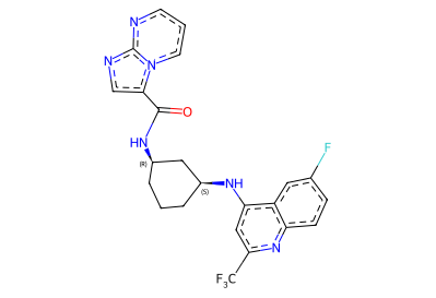 O=C(N[C@@H]1CCC[C@H](Nc2cc(C(F)(F)F)nc3ccc(F)cc23)C1)c1cnc2ncccn12